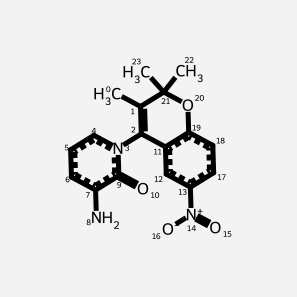 CC1=C(n2cccc(N)c2=O)c2cc([N+](=O)[O-])ccc2OC1(C)C